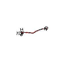 O=C=NCCCCCCCCCCCCCCCCCCCCCCCCCCCCCCCCNC(=S)S